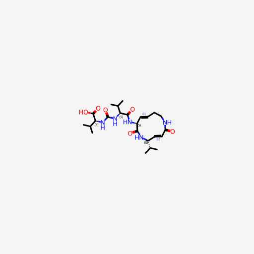 CC(C)[C@H](NC(=O)N[C@H](C(=O)N[C@H]1/C=C/CCNC(=O)/C=C/[C@H](C(C)C)NC1=O)C(C)C)C(=O)O